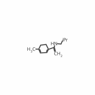 C=C(NCC(C)C)C1=CC=C(C)CC1